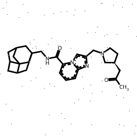 CC(=O)C[C@@H]1CCN(Cc2cn3c(C(=O)NCC45CC6CC7CC(C4)C7(C6)C5)cccc3n2)C1